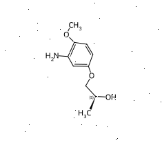 COc1ccc(OC[C@H](C)O)cc1N